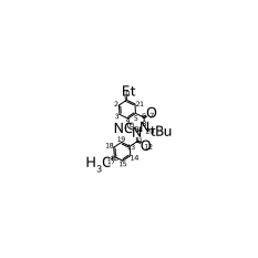 CCc1cccc(C(=O)N(N(C#N)C(=O)c2ccc(C)cc2)C(C)(C)C)c1